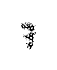 CC1CN(Cc2cc3c(c(C(F)(F)F)c2)CN(c2cccc(C4(Cc5nncn5C)COC4)c2)C3=O)CC1(F)F